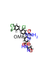 COc1cc(-c2ccc(Cl)c(F)c2)c(Cl)cc1N(C(N)=O)c1ccc(S(=O)(=O)Nc2ccon2)cn1